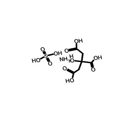 N.O=C(O)CC(O)(CC(=O)O)C(=O)O.O=S(=O)(O)O